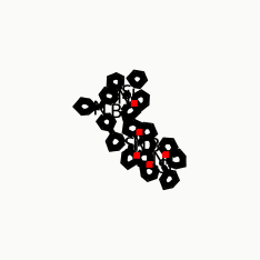 c1ccc(N2c3ccc(-c4cccc([Si](c5ccccc5)(c5ccccc5)N5c6ccccc6B6c7ccccc7N([Si](c7ccccc7)(c7ccccc7)c7ccccc7)c7cccc5c76)c4)cc3B3c4ccccc4N([Si](c4ccccc4)(c4ccccc4)c4ccccc4)c4cccc2c43)cc1